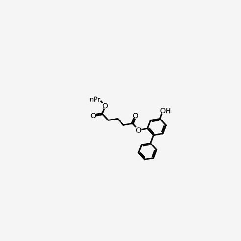 CCCOC(=O)CCCC(=O)Oc1cc(O)ccc1-c1ccccc1